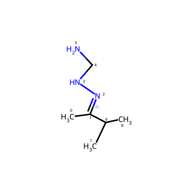 C/C(=N\NCN)C(C)C